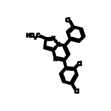 O=C(O)c1cc2nc(-c3ccc(Cl)cc3Cl)cc(-c3cccc(Cl)c3)n2n1